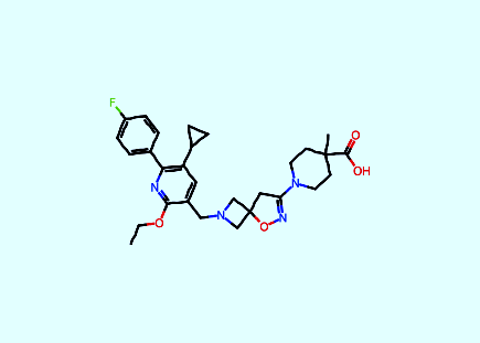 CCOc1nc(-c2ccc(F)cc2)c(C2CC2)cc1CN1CC2(CC(N3CCC(C)(C(=O)O)CC3)=NO2)C1